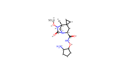 NC1CCCC1ONC(=O)[C@@H]1CC2(CC2)[C@@H]2CN1C(=O)N2OS(=O)(=O)O